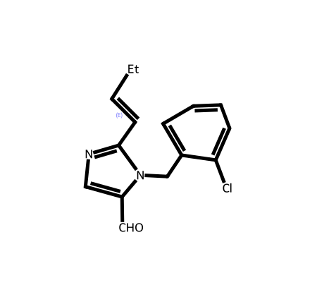 CC/C=C/c1ncc(C=O)n1Cc1ccccc1Cl